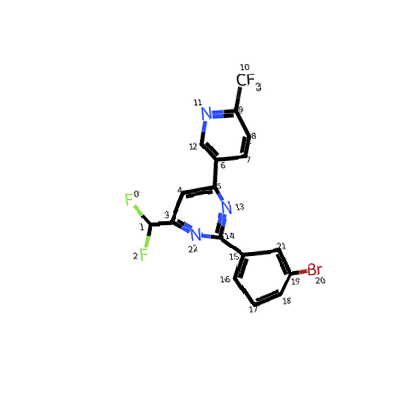 FC(F)c1cc(-c2ccc(C(F)(F)F)nc2)nc(-c2cccc(Br)c2)n1